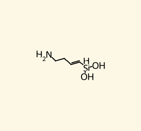 NCCC=C[SiH](O)O